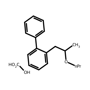 CCCOC(C)Cc1ccccc1-c1ccccc1.O=C(O)O